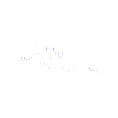 COc1cccc(NC(=O)Nn2cc(-c3ccc([N+](=O)[O-])cc3)c(C)c2C(=O)O)c1F